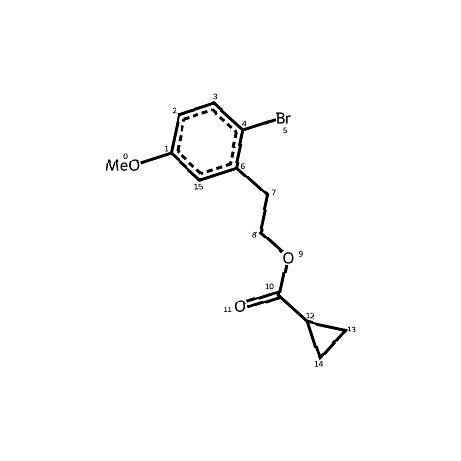 COc1ccc(Br)c(CCOC(=O)C2CC2)c1